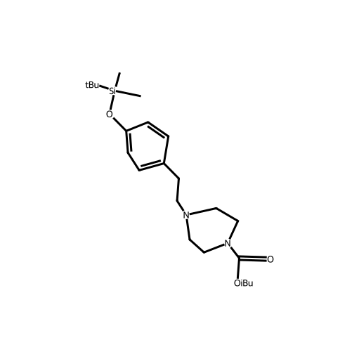 CC(C)COC(=O)N1CCN(CCc2ccc(O[Si](C)(C)C(C)(C)C)cc2)CC1